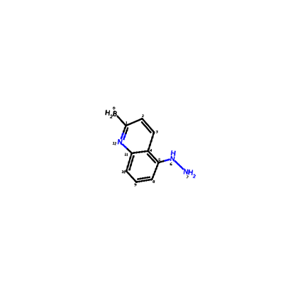 Bc1ccc2c(NN)cccc2n1